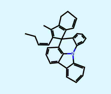 CC/C=C\C1=C(C)C2=C(C=CCC2)C12c1ccccc1-n1c3ccccc3c3cccc2c31